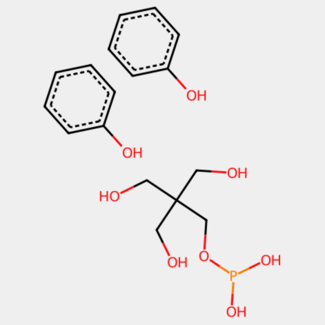 OCC(CO)(CO)COP(O)O.Oc1ccccc1.Oc1ccccc1